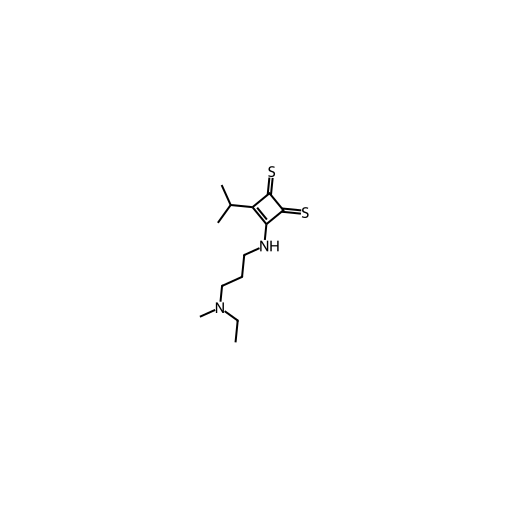 CCN(C)CCCNc1c(C(C)C)c(=S)c1=S